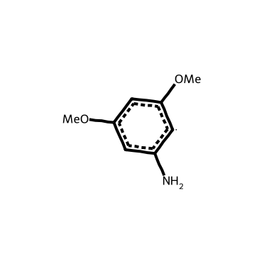 COc1[c]c(N)cc(OC)c1